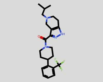 CC(C)CN1CCc2[nH]nc(C(=O)N3CCC(c4ccccc4C(F)(F)F)CC3)c2C1